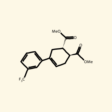 COC(=O)[C@H]1CC=C(c2cccc(C(F)(F)F)c2)C[C@@H]1C(=O)OC